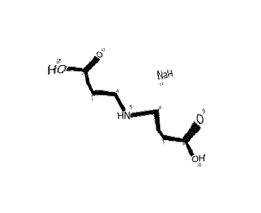 O=C(O)CCNCCC(=O)O.[NaH]